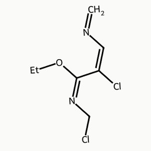 C=N/C=C(Cl)\C(=N/CCl)OCC